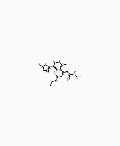 CCOC(=O)CN(CC(=O)OCC)c1cc(-c2ncc(C)o2)ccc1C